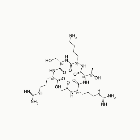 CC(=O)N[C@@H](CCCNC(=N)N)C(=O)N[C@H](C(=O)N[C@@H](CCCCN)C(=O)N[C@@H](CO)C(=O)N[C@@H](CCCNC(=N)N)C(=O)O)[C@@H](C)O